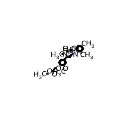 CCOC(=O)COc1ccc(-c2c/c(=N/c3c(C)cc(C)cc3C)n(C)c(=O)n2C)cc1OC